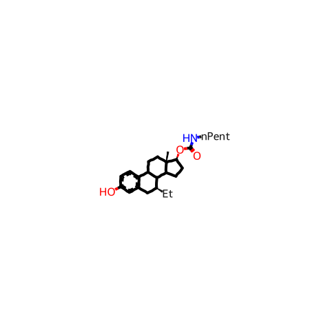 CCCCCNC(=O)O[C@H]1CCC2C3C(CC[C@@]21C)c1ccc(O)cc1C[C@@H]3CC